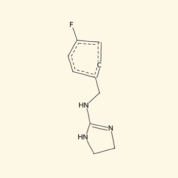 Fc1ccc(CNC2=NCCN2)cc1